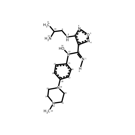 [H]/N=C(/c1nonc1NCC(C)N)N(O)c1ccc(N2CCN(C)CC2)cc1